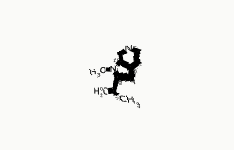 CC(C)c1cc2ccncc2n1C